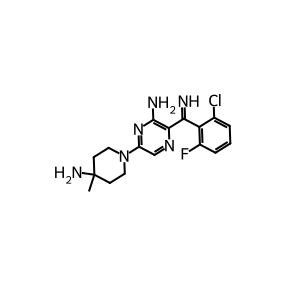 CC1(N)CCN(c2cnc(C(=N)c3c(F)cccc3Cl)c(N)n2)CC1